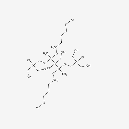 CCC(CO)(CO)COC(C)(O[SiH2]CCCSC(C)=O)C(CC)(COC(C)=O)C(C)(OCC(CC)(CO)CO)O[SiH2]CCCSC(C)=O